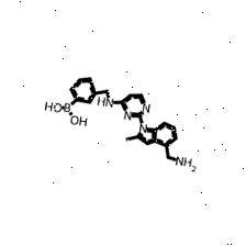 Cc1cc2c(CN)cccc2n1-c1nccc(NCc2cccc(B(O)O)c2)n1